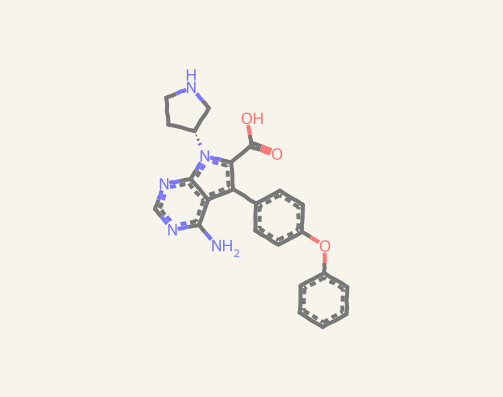 Nc1ncnc2c1c(-c1ccc(Oc3ccccc3)cc1)c(C(=O)O)n2[C@@H]1CCNC1